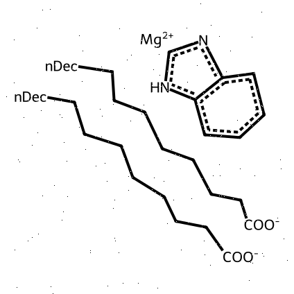 CCCCCCCCCCCCCCCCCC(=O)[O-].CCCCCCCCCCCCCCCCCC(=O)[O-].[Mg+2].c1ccc2[nH]cnc2c1